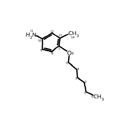 CCCCCCOc1ccc(N)cc1C